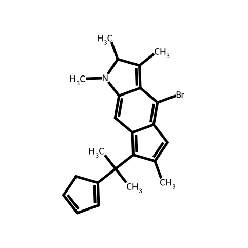 CC1=Cc2c(Br)c3c(cc2=C1C(C)(C)C1=CC=CC1)N(C)C(C)C=3C